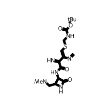 C=N/C(=C\SCNC(=O)OC(C)(C)C)C(=N)C(=O)NC1C(=O)NC1CNC